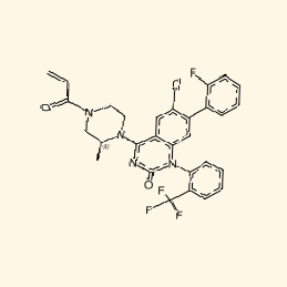 C=CC(=O)N1CCN(c2nc(=O)n(-c3ccccc3C(F)(F)F)c3cc(-c4ccccc4F)c(Cl)cc23)[C@@H](C)C1